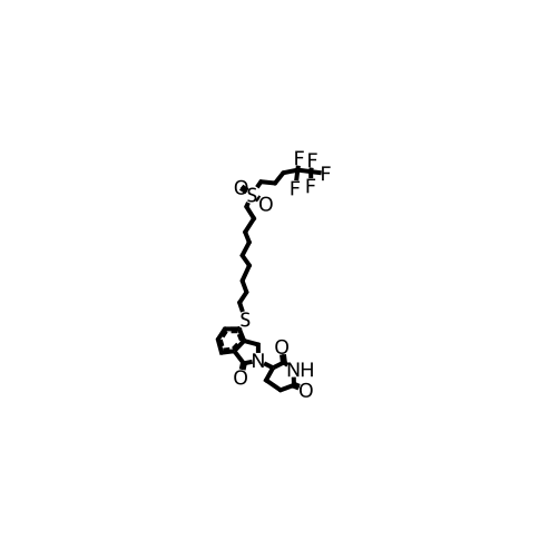 O=C1CCC(N2Cc3c(SCCCCCCCCCS(=O)(=O)CCCC(F)(F)C(F)(F)F)cccc3C2=O)C(=O)N1